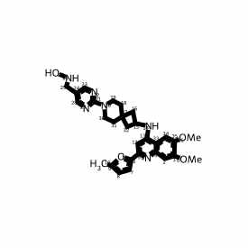 COc1cc2nc(-c3ccc(C)o3)cc(NC3CC4(CCN(c5ncc(CNO)cn5)CC4)C3)c2cc1OC